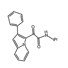 CC(C)NC(=O)C(=O)c1c(-c2ccccc2)cc2ccccn12